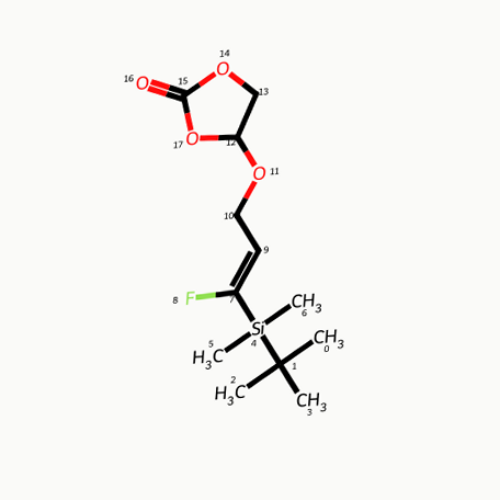 CC(C)(C)[Si](C)(C)/C(F)=C/COC1COC(=O)O1